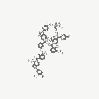 CC1Cc2c(nnn2-c2ncc(F)cn2)CN1C(=O)c1cccc(C(F)(F)F)c1.C[C@@H]1c2nn(COCC[Si](C)(C)C)c(-c3ncc(F)cn3)c2CCN1C(=O)c1cccc(C(F)(F)F)c1Cl.Cc1nc(-n2nnc3c2CCN(C(=O)c2cccc(C(F)(F)F)c2Cl)[C@H]3C)ncc1F